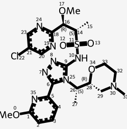 COc1cccc(-c2nnc(NS(=O)(=O)[C@@H](C)[C@H](OC)c3ncc(Cl)cn3)n2[C@@H](C)[C@H]2CN(C)CCO2)n1